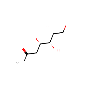 COC(=O)C[C@@H](O)[C@H](O)[C@H](O)CO